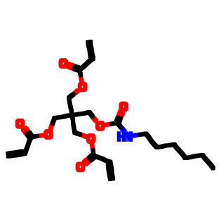 C=CC(=O)OCC(COC(=O)C=C)(COC(=O)C=C)COC(=O)NCCCCCC